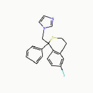 Fc1ccc2c(c1)CCSC2(Cn1ccnc1)c1ccccc1